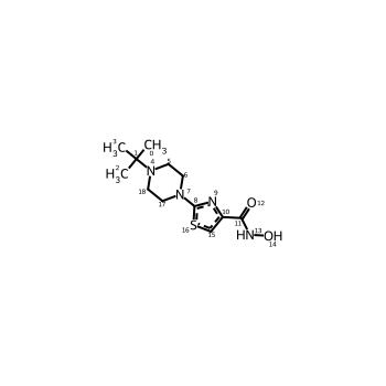 CC(C)(C)N1CCN(c2nc(C(=O)NO)cs2)CC1